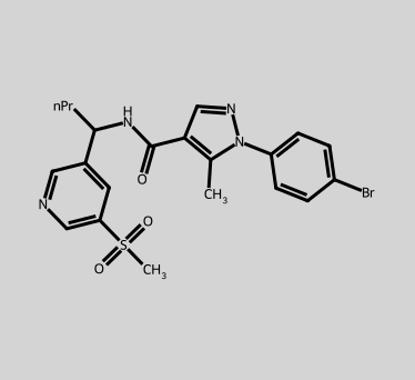 CCCC(NC(=O)c1cnn(-c2ccc(Br)cc2)c1C)c1cncc(S(C)(=O)=O)c1